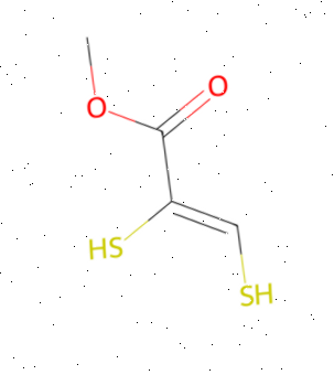 COC(=O)/C(S)=C/S